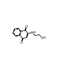 O=C1C=C(NCCO)C(=O)c2ccccc21